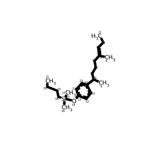 CC/C=C(\C)CCCC(C)c1ccc(O[Si](C)(C)CCCC)cc1